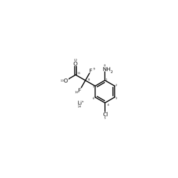 Nc1ccc(Cl)cc1C(F)(F)C(=O)[O-].[Li+]